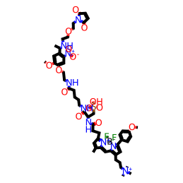 COc1ccc(-c2cc(CCC[N+](C)(C)C)c3n2[B-](F)(F)[N+]2=C(CCC(=O)NC(CS(=O)(=O)O)C(=O)NCCCCC(=O)NCCOc4cc([N+](=O)[O-])c(C(C)NCCOCCN5C(=O)C=CC5=O)cc4OC)C=C(C)C2=C3)cc1